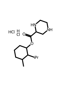 CC(C)C1C(C)CCCC1OC(=O)C1CNCCN1.Cl.Cl